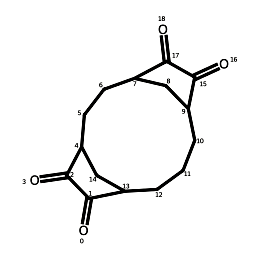 O=C1C(=O)C2CCC3CC(CCCC1C2)C(=O)C3=O